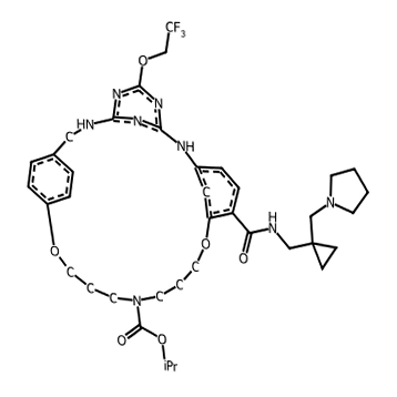 CC(C)OC(=O)N1CCCOc2ccc(cc2)CNc2nc(nc(OCC(F)(F)F)n2)Nc2ccc(C(=O)NCC3(CN4CCCC4)CC3)c(c2)OCCC1